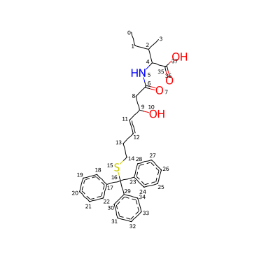 CCC(C)C(NC(=O)CC(O)C=CCCSC(c1ccccc1)(c1ccccc1)c1ccccc1)C(=O)O